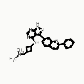 CN(C)CC1CC(Nc2ncnc3[nH]nc(-c4ccc5ccc(-c6ccccc6)nc5c4)c23)C1